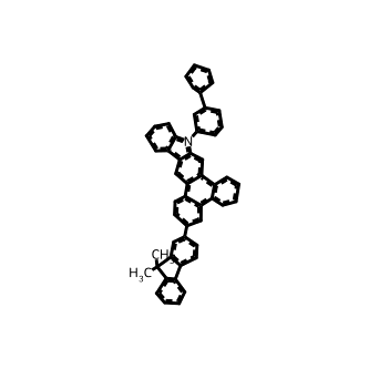 CC1(C)c2ccccc2-c2ccc(-c3ccc4c(c3)c3ccccc3c3cc5c(cc43)c3ccccc3n5-c3cccc(-c4ccccc4)c3)cc21